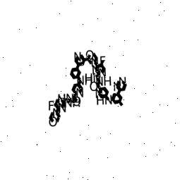 Cc1cc(Nc2ccc(C(=O)NNc3ncc(F)c(N4CCOC(c5cncc(-c6cccc(Nc7ccc(C(=O)NNc8ncc(F)c(N9CCOCC9)n8)nc7)c6)c5)C4)n3)nc2)cc(-c2ccncn2)c1